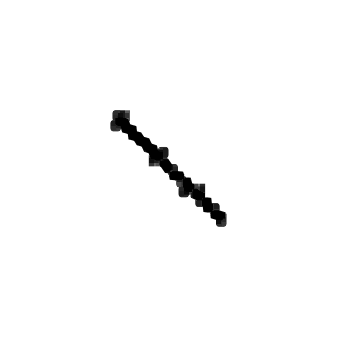 O=[C]COCCOCCNC(=O)COCCOCCNC(=O)CCCCCCCCCCC(=O)O